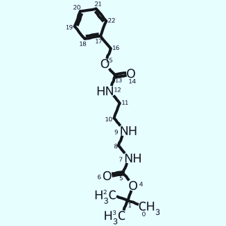 CC(C)(C)OC(=O)NCNCCNC(=O)OCc1ccccc1